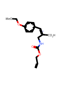 C=CCOC(=O)NC/C(=C\c1ccc(OCOC)cc1)C(=O)O